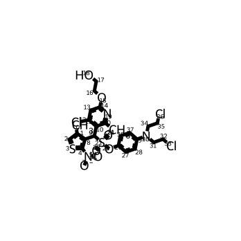 Cc1csc([N+](=O)[O-])c1C(c1c(Cl)cc(OCCO)nc1C)S(=O)(=O)Oc1ccc(N(CCCl)CCCl)cc1